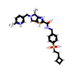 CC(C)[C@H]1c2nc(C(=O)NCc3ccc(S(=O)(=O)CCC4CCC4)cc3)sc2CN1Cc1ccc(C(F)(F)F)nc1